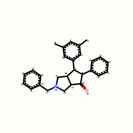 Cc1cc(C)cc(C2C(c3ccccc3)C(=O)C3CN(Cc4ccccc4)CC32)c1